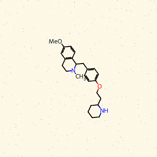 COc1ccc2c(c1)CCN(C)C2Cc1ccc(OCCC2CCCCN2)cc1